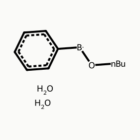 CCCCO[B]c1ccccc1.O.O